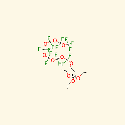 CCO[Si](CCOC(F)(F)OC(F)(F)OC(F)(F)OC(F)(F)OC(F)(F)OC(F)(F)OC(F)(F)F)(OCC)OCC